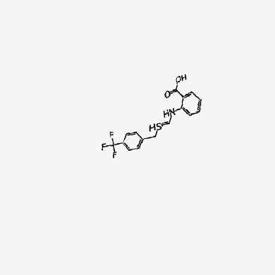 O=C(O)c1ccccc1NC=[SH]Cc1ccc(C(F)(F)F)cc1